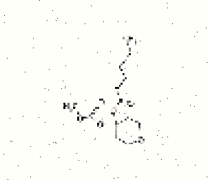 CCCCOC(=O)OC1(OC(=O)OC)CCOCC1